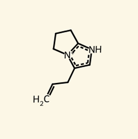 C=CCc1c[nH]c2[n+]1CCC2